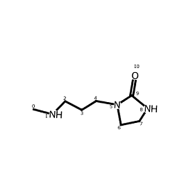 CNCCCN1CCNC1=O